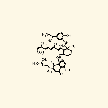 CC(C)=CC[C@H](O)C1=CC(=O)c2c(O)ccc(O)c2C1=O.CC1=C(/C=C/C(C)=C/C=C/C(C)=C\C(=O)O)C(C)(C)CCC1.NC[C@H](O)c1ccc(O)c(O)c1